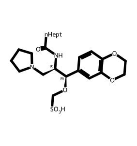 CCCCCCCC(=O)N[C@H](CN1CCCC1)[C@H](OCS(=O)(=O)O)c1ccc2c(c1)OCCO2